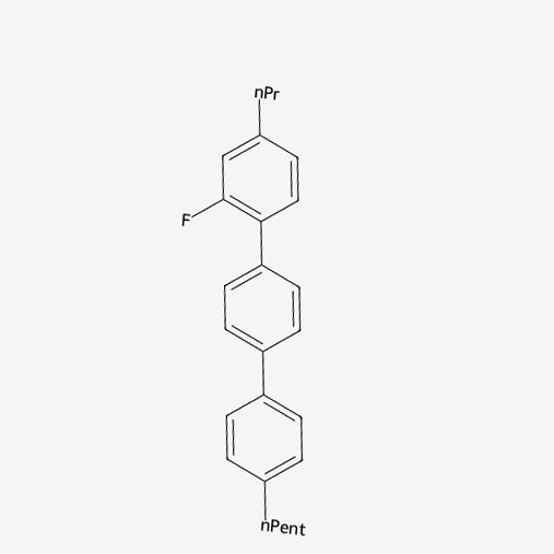 CCCCCc1ccc(-c2ccc(-c3ccc(CCC)cc3F)cc2)cc1